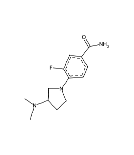 CN(C)C1CCN(c2ccc(C(N)=O)cc2F)C1